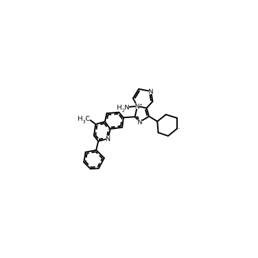 Cc1cc(-c2ccccc2)nc2cc(C3=NC(C4CC[CH]CC4)=C4C=NC=C[N+]34N)ccc12